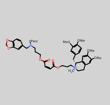 CCCCCN(CCCOC(=O)/C=C\C(=O)OCCC[N@+]1(C)CCc2cc(OC)c(OC)cc2[C@H]1Cc1ccc(OC)c(OC)c1)Cc1ccc2c(c1)OCO2